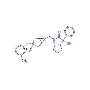 Cc1cccc(C[N+]2(C)CC3C(CNC(=O)C(O)(c4ccccc4)C4CCCC4)C3C2)c1